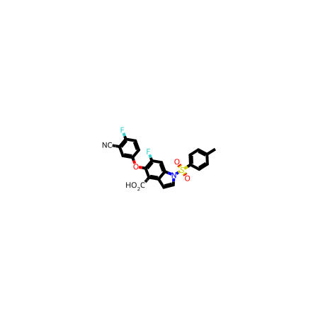 Cc1ccc(S(=O)(=O)n2ccc3c(C(=O)O)c(Oc4ccc(F)c(C#N)c4)c(F)cc32)cc1